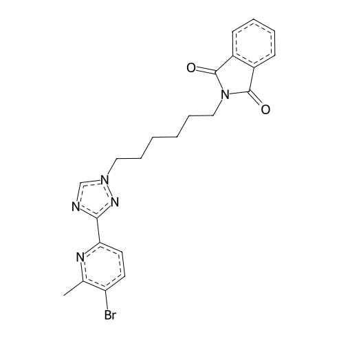 Cc1nc(-c2ncn(CCCCCCN3C(=O)c4ccccc4C3=O)n2)ccc1Br